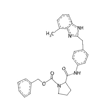 Cc1cccc2[nH]c(Cc3ccc(NC(=O)C4CCCN4C(=O)OCc4ccccc4)cc3)nc12